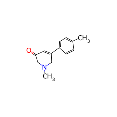 Cc1ccc(C2=CC(=O)CN(C)C2)cc1